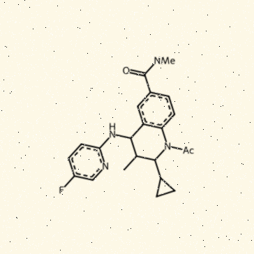 CNC(=O)c1ccc2c(c1)C(Nc1ccc(F)cn1)C(C)C(C1CC1)N2C(C)=O